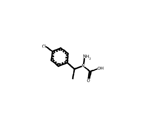 CC(c1ccc(Cl)cc1)N(N)C(=O)O